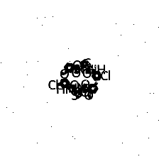 COc1ccc(C)cc1S(=O)(=O)Nc1ccsc1C(=O)Nc1cccc(Cl)c1.COc1cccc(S(=O)(=O)Nc2ccsc2C(=O)Nc2cccc(Cl)c2)c1